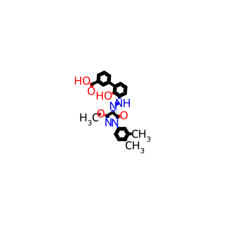 COC1=NN(c2ccc(C)c(C)c2)C(=O)/C1=N\Nc1cccc(-c2cccc(C(=O)O)c2)c1O